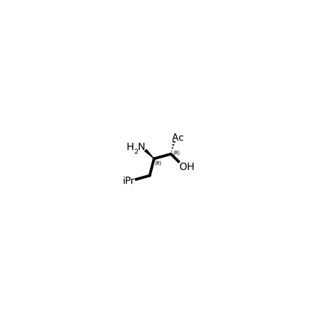 CC(=O)[C@H](O)[C@H](N)CC(C)C